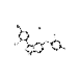 Cc1cc(Br)ccc1-c1nnc2ccc(Sc3ccc(F)cc3F)cn12.Cl